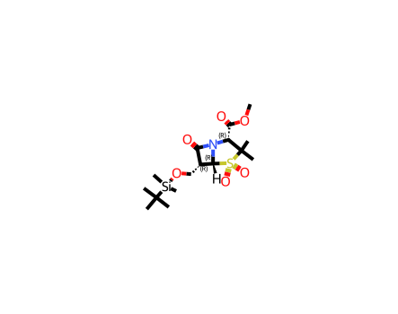 COC(=O)[C@H]1N2C(=O)[C@@H](CO[Si](C)(C)C(C)(C)C)[C@H]2S(=O)(=O)C1(C)C